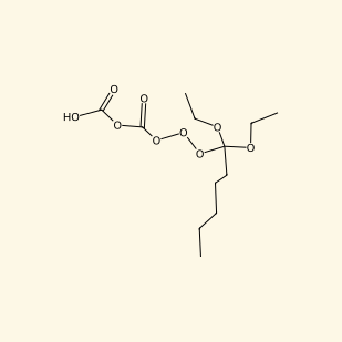 CCCCCC(OCC)(OCC)OOOC(=O)OC(=O)O